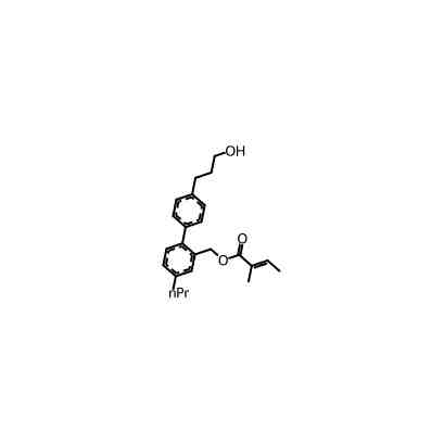 C/C=C(\C)C(=O)OCc1cc(CCC)ccc1-c1ccc(CCCO)cc1